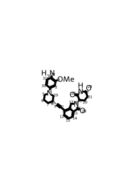 COc1cc(N2CCC[C@@H](C#Cc3cccc4c3CN(C3CCC(=O)NC3=O)C4=O)C2)ccc1N